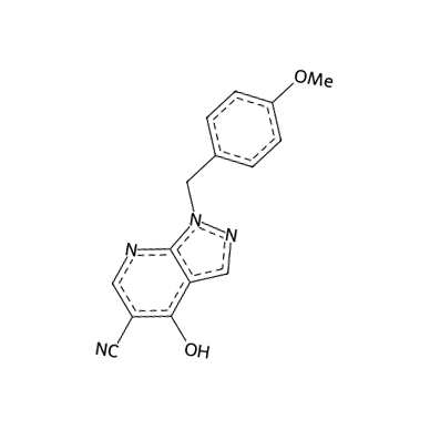 COc1ccc(Cn2ncc3c(O)c(C#N)cnc32)cc1